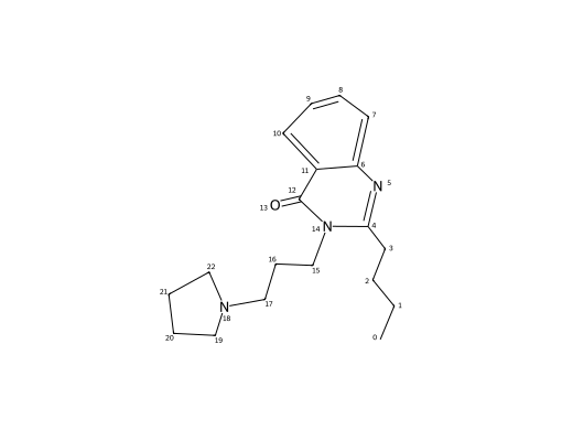 CCCCc1nc2ccccc2c(=O)n1CCCN1CCCC1